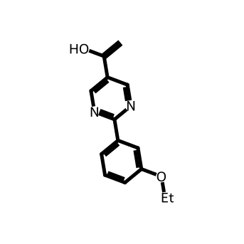 C=C(O)c1cnc(-c2cccc(OCC)c2)nc1